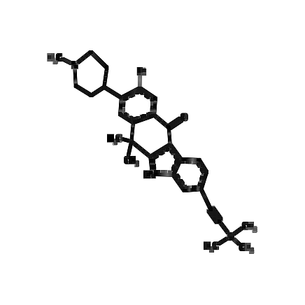 CCc1cc2c(cc1C1CCN(C)CC1)C(C)(C)c1[nH]c3cc(C#C[Si](C)(C)C)ccc3c1C2=O